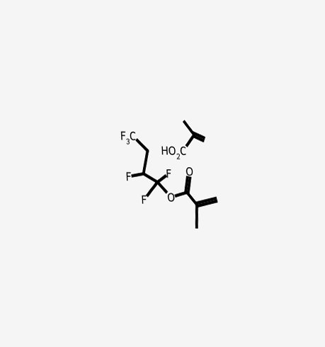 C=C(C)C(=O)O.C=C(C)C(=O)OC(F)(F)C(F)CC(F)(F)F